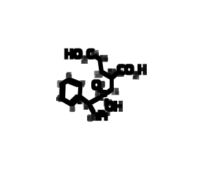 CCCC(c1ccccc1)P(=O)(O)CC(CCC(=O)O)C(=O)O